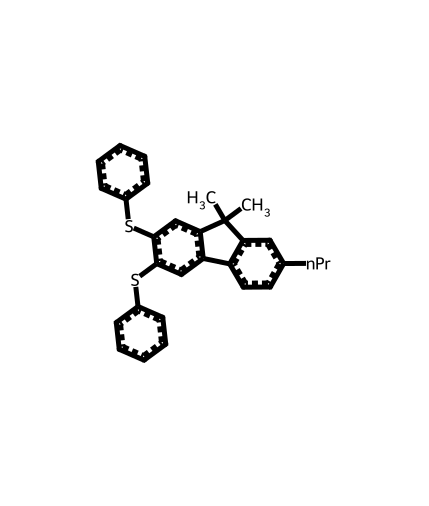 CCCc1ccc2c(c1)C(C)(C)c1cc(Sc3ccccc3)c(Sc3ccccc3)cc1-2